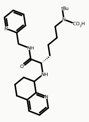 CC(C)(C)N(CCCC[C@H](NC1CCCc2cccnc21)C(=O)NCc1ccccn1)C(=O)O